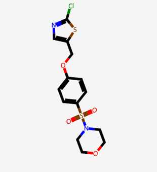 O=S(=O)(c1ccc(OCc2cnc(Cl)s2)cc1)N1CCOCC1